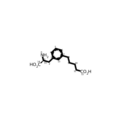 N[C@@H](Cc1cccc(CCCCC(=O)O)c1)C(=O)O